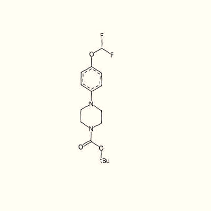 CC(C)(C)OC(=O)N1CCN(c2ccc(OC(F)F)cc2)CC1